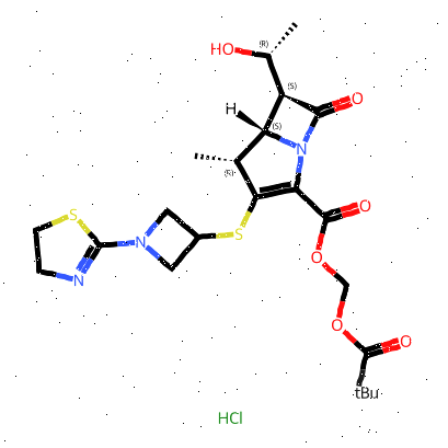 C[C@@H](O)[C@H]1C(=O)N2C(C(=O)OCOC(=O)C(C)(C)C)=C(SC3CN(C4=NCCS4)C3)[C@H](C)[C@H]12.Cl